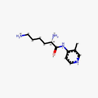 Cc1cnccc1NC(=O)[C@@H](N)CCCCN